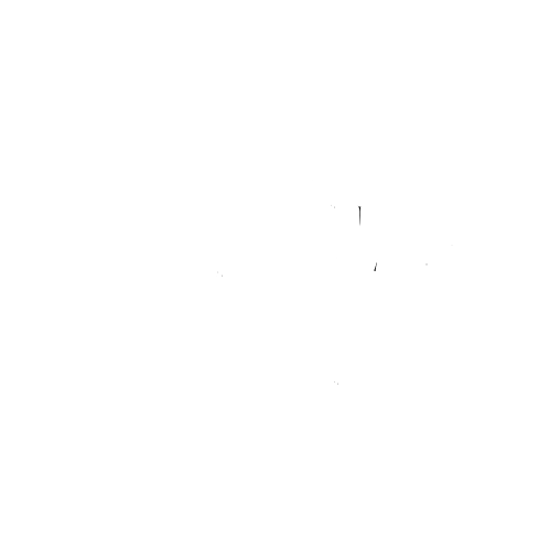 C=CCOC(=O)N1CCC(SC2=C(C(=O)O)N3C(=O)[C@@H]([C@H](CC)O[Si](C)(C)C(C)(C)C)[C@@]3(SCc3ccc([N+](=O)[O-])cc3)S2)C1